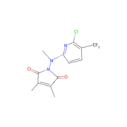 CC1=C(C)C(=O)N(N(C)c2ccc(C(F)(F)F)c(Cl)n2)C1=O